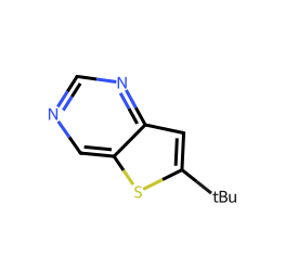 CC(C)(C)c1cc2ncncc2s1